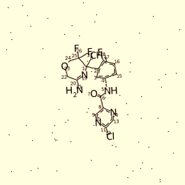 CC1(c2cc(NC(=O)c3cnc(Cl)cn3)ccc2F)N=C(N)COCC1(F)F